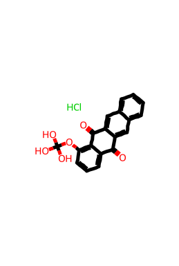 Cl.O=C1c2cc3ccccc3cc2C(=O)c2c(OC(O)(O)O)cccc21